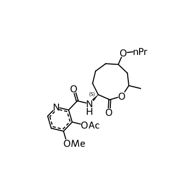 CCCOC1CCC[C@H](NC(=O)c2nccc(OC)c2OC(C)=O)C(=O)OC(C)C1